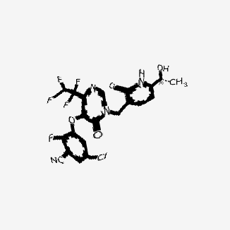 C[C@@H](O)c1ccc(Cn2cnc(C(F)(F)C(F)F)c(Oc3cc(Cl)cc(C#N)c3F)c2=O)c(=O)[nH]1